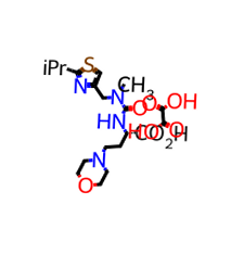 CC(C)c1nc(CN(C)C(=O)N[C@@H](CCN2CCOCC2)C(=O)O)cs1.O=C(O)C(=O)O